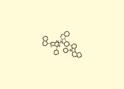 C1=CC2C(c3ccccc31)c1cc(-c3cccc4c5c6ccccc6ccc5n(-c5ccccc5)c34)ccc1N2c1nc(-c2ccccc2)c2sc(-c3cccc4ccccc34)cc2n1